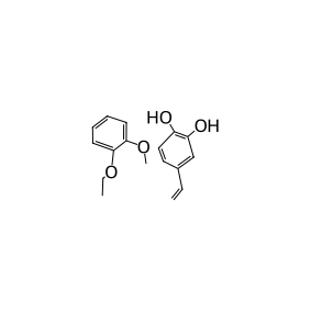 C=Cc1ccc(O)c(O)c1.CCOc1ccccc1OC